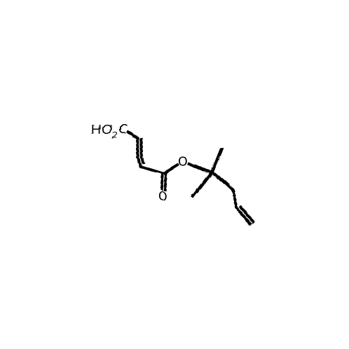 C=CCC(C)(C)OC(=O)C=CC(=O)O